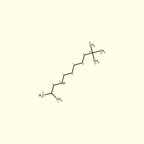 CC(C)CNCCCCCC(C)(C)C